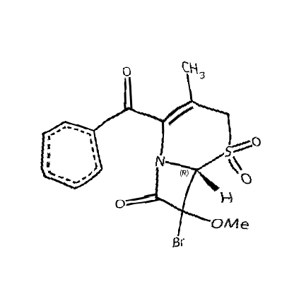 COC1(Br)C(=O)N2C(C(=O)c3ccccc3)=C(C)CS(=O)(=O)[C@@H]21